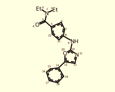 CCN(CC)C(=O)c1ccc(Nc2ncc(-c3ccccc3)o2)cc1